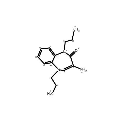 CCCN1C=C(N)C(=O)N(CCC)c2ccccc21